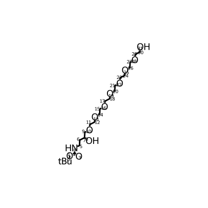 CC(C)(C)OC(=O)NCCC(O)COCCOCCOCCOCCOCCOCCOCCO